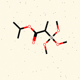 CO[Si](OC)(OC)C(C)C(=O)OC(C)C